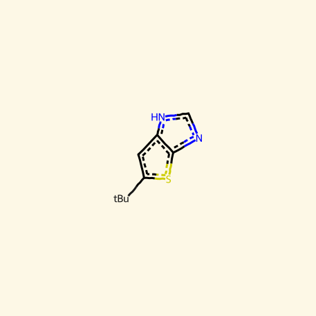 CC(C)(C)c1cc2[nH]cnc2s1